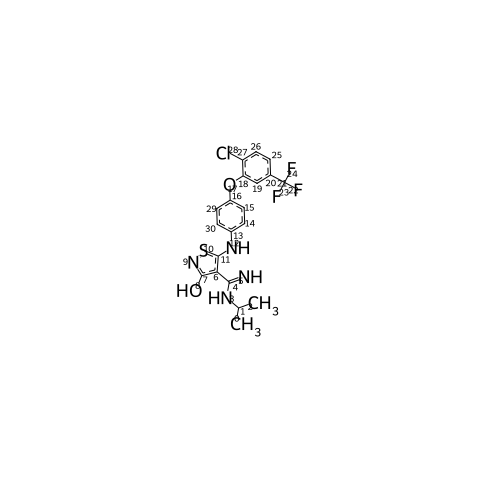 CC(C)NC(=N)c1c(O)nsc1Nc1ccc(Oc2cc(C(F)(F)F)ccc2Cl)cc1